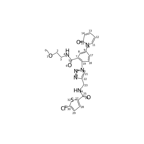 COCCNC(=O)c1cc(-n2ccccc2=O)ccc1-n1cc(CNC(=O)c2ccc(Cl)s2)nn1